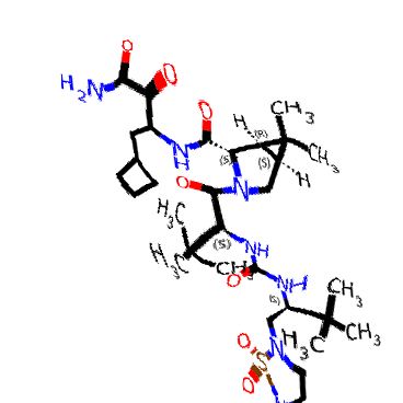 CC(C)(C)[C@H](NC(=O)N[C@H](CN1CCNS1(=O)=O)C(C)(C)C)C(=O)N1C[C@H]2[C@@H]([C@H]1C(=O)NC(CC1CCC1)C(=O)C(N)=O)C2(C)C